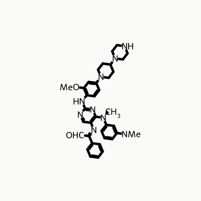 CNc1cccc(N(C)c2nc(Nc3ccc(N4CCC(N5CCNCC5)CC4)cc3OC)ncc2/N=C(\C=O)c2ccccc2)c1